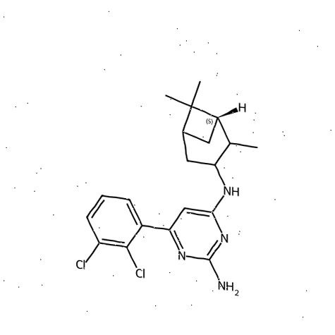 CC1C(Nc2cc(-c3cccc(Cl)c3Cl)nc(N)n2)CC2C[C@@H]1C2(C)C